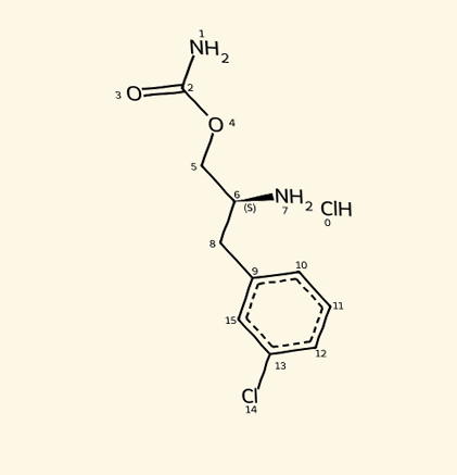 Cl.NC(=O)OC[C@@H](N)Cc1cccc(Cl)c1